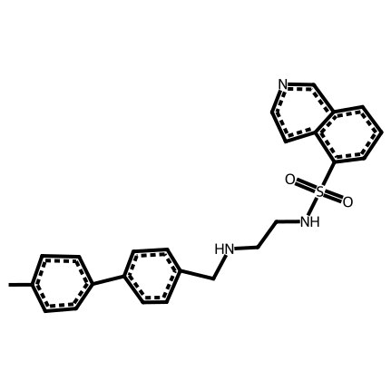 Cc1ccc(-c2ccc(CNCCNS(=O)(=O)c3cccc4cnccc34)cc2)cc1